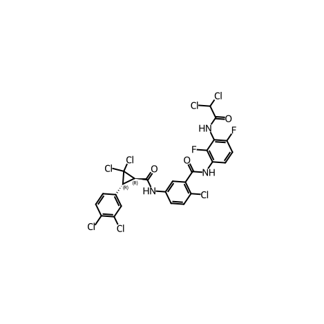 O=C(Nc1ccc(F)c(NC(=O)C(Cl)Cl)c1F)c1cc(NC(=O)[C@H]2[C@H](c3ccc(Cl)c(Cl)c3)C2(Cl)Cl)ccc1Cl